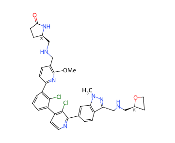 COc1nc(-c2cccc(-c3ccnc(-c4ccc5c(CNC[C@@H]6CCO6)nn(C)c5c4)c3Cl)c2Cl)ccc1CNC[C@H]1CCC(=O)N1